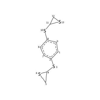 c1cc(SC2CS2)ccc1SC1CS1